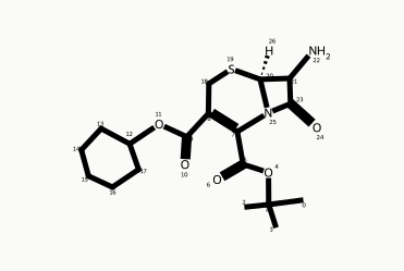 CC(C)(C)OC(=O)C1=C(C(=O)OC2CCCCC2)CS[C@H]2C(N)C(=O)N12